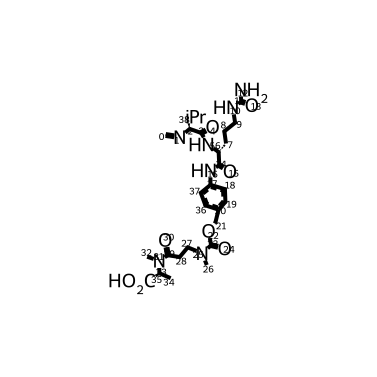 C=N[C@@H](C(=O)N[C@H](CCCNC(N)=O)C(=O)Nc1ccc(COC(=O)N(C)CCC(=O)N(C)[C@@H](C)C(=O)O)cc1)C(C)C